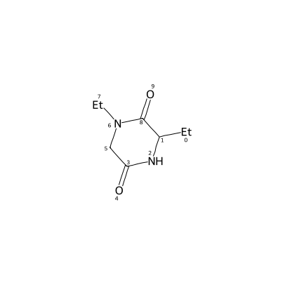 CCC1NC(=O)CN(CC)C1=O